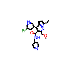 CCc1ccc2c(-c3cncc(Br)c3)c(C(=O)NCc3ccncc3)c(COC)nn12